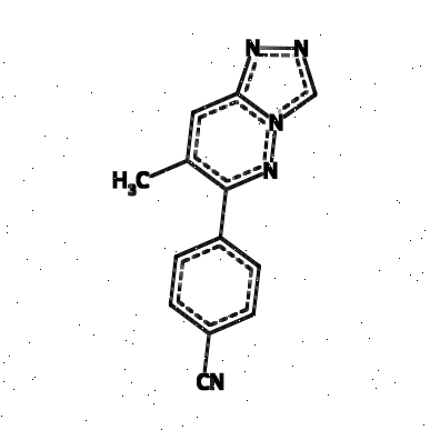 Cc1cc2nncn2nc1-c1ccc(C#N)cc1